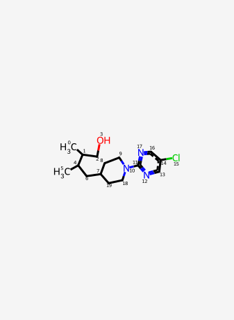 CC(CO)C(C)CC1CCN(c2ncc(Cl)cn2)CC1